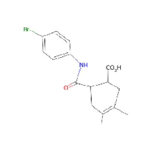 CC1=C(C)CC(C(=O)Nc2ccc(Br)cc2)C(C(=O)O)C1